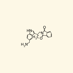 CC(CN1C(=O)c2ccccc2C1=O)c1c[nH]c2ccc(CN)cc12